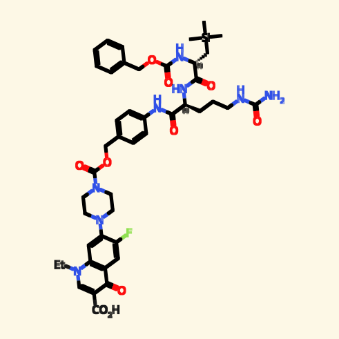 CCn1cc(C(=O)O)c(=O)c2cc(F)c(N3CCN(C(=O)OCc4ccc(NC(=O)[C@H](CCCNC(N)=O)NC(=O)[C@@H](C[Si](C)(C)C)NC(=O)OCc5ccccc5)cc4)CC3)cc21